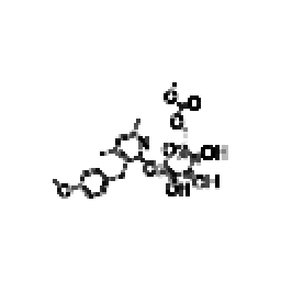 COC(=O)OC[C@H]1O[C@@H](Oc2nc(C)cc(C)c2Cc2ccc(OC)cc2)[C@H](O)[C@@H](O)[C@@H]1O